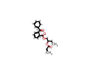 C=CC(=O)OC(CC)COC(=O)c1ccccc1C(=O)c1ccccc1